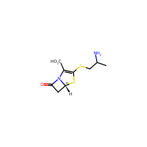 CC(N)CSC1=C(C(=O)O)N2C(=O)C[C@H]2S1